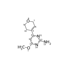 COc1cc(C2=CCOCC2)nc(N)n1